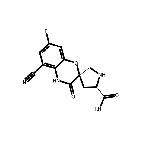 N#Cc1cc(F)cc2c1NC(=O)[C@@]1(CN[C@H](C(N)=O)C1)O2